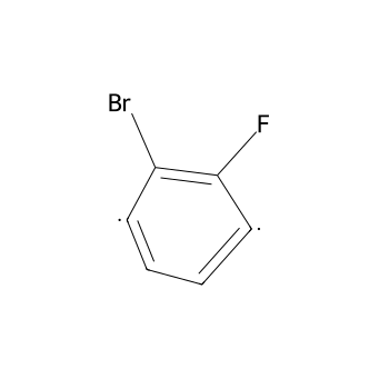 Fc1[c]cc[c]c1Br